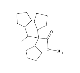 CC(C1CCCC1)C(C(=O)O[SiH3])(C1CCCC1)C1CCCC1